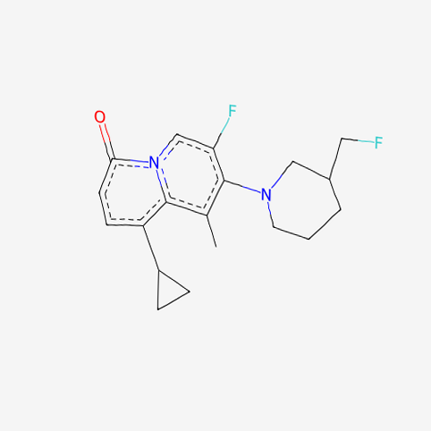 Cc1c(N2CCCC(CF)C2)c(F)cn2c(=O)ccc(C3CC3)c12